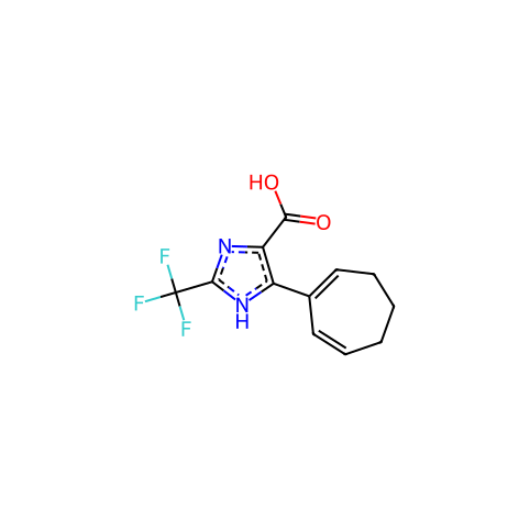 O=C(O)c1nc(C(F)(F)F)[nH]c1C1=CCCCC=C1